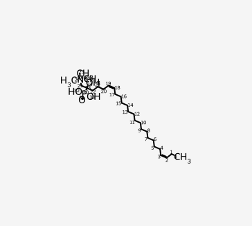 CC/C=C\CCCCCCCCCCCCCC/C=C\CCCC(O)(C[N+](C)(C)C)P(=O)(O)O